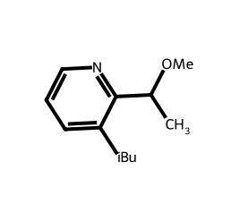 CCC(C)c1cccnc1C(C)OC